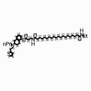 CCCN(CCc1cccs1)C1CCc2c(cccc2OC(=O)CCNC(=O)CCCCCCCCCCCCCCCCCCC(=O)NCC)C1